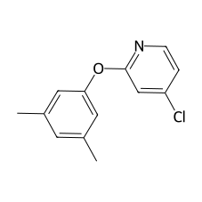 Cc1cc(C)cc(Oc2cc(Cl)ccn2)c1